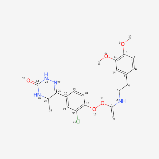 C=C(NCCc1ccc(OC)c(OC)c1)OOc1ccc(C2=NNC(=O)NC2C)cc1Cl